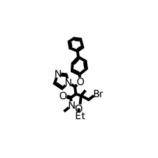 CCON(C)C(=O)C(C(Oc1ccc(-c2ccccc2)cc1)n1ccnc1)C(C)(C)CBr